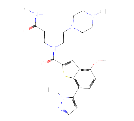 CNC(=O)CCN(CCN1CCN(C)CC1)C(=O)c1cc2c(OC)ccc(-c3ccnn3C)c2s1